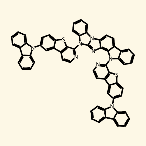 c1ccc2c(c1)c1ccccc1n2-c1ccc2sc3c(-n4c5ccccc5c5ccc6c(nc7n(-c8nccc9c8sc8ccc(-n%10c%11ccccc%11c%11ccccc%11%10)cc89)c8ccccc8n67)c54)nccc3c2c1